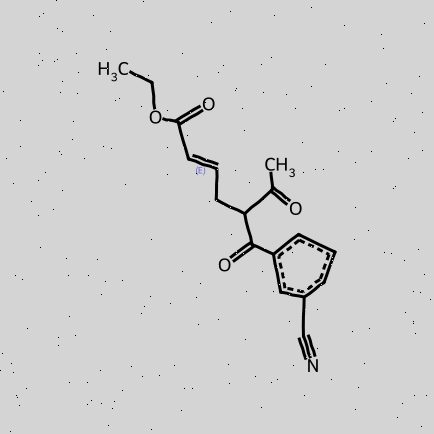 CCOC(=O)/C=C/CC(C(C)=O)C(=O)c1cccc(C#N)c1